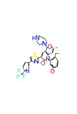 CCc1ccc(OC)cc1-n1c(C=C(C)C)c(C(=O)N2CCN[C@@H](C)C2)cc(-c2nc(-c3ccc(C(F)(F)F)nc3)cs2)c1=O